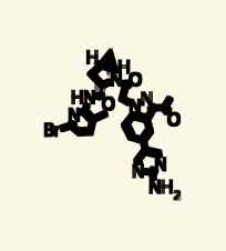 CC(=O)c1nn(CC(=O)N2[C@@H]3C[C@@H]3C[C@H]2C(=O)Nc2nc(Br)ccc2C)c2ccc(-c3cnc(N)nc3)cc12